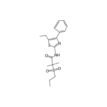 CCCS(=O)(=O)C(C)(C)C(=O)Nc1nc(-c2ccccc2)c(CC)s1